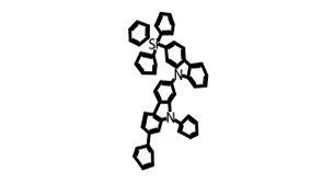 c1ccc(-c2ccc3c4ccc(-n5c6ccccc6c6ccc([Si](c7ccccc7)(c7ccccc7)c7ccccc7)cc65)cc4n(-c4ccccc4)c3c2)cc1